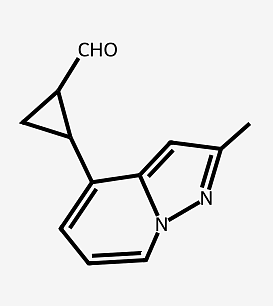 Cc1cc2c(C3CC3C=O)cccn2n1